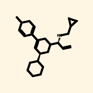 C=C[C@@H](NCC1CC1)C1CC(C2=CCC(C)C=C2)=C[C@H](C2CCCCC2)C1